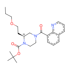 CCCOCC[C@H]1CN(C(=O)c2cccc3cccnc23)CCN1C(=O)OC(C)(C)C